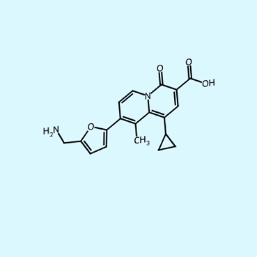 Cc1c(-c2ccc(CN)o2)ccn2c(=O)c(C(=O)O)cc(C3CC3)c12